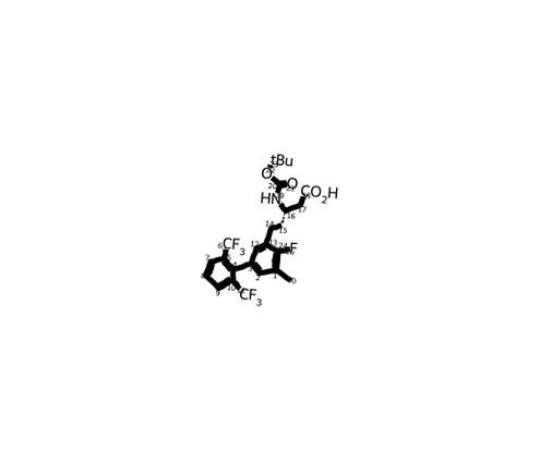 Cc1cc(-c2c(C(F)(F)F)cccc2C(F)(F)F)cc(CC[C@@H](CC(=O)O)NC(=O)OC(C)(C)C)c1F